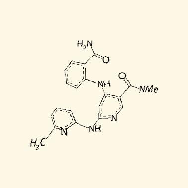 CNC(=O)c1cnc(Nc2cccc(C)n2)cc1Nc1ccccc1C(N)=O